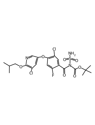 CC(C)COc1ncc(Oc2cc(F)c(C(=O)N(C(=O)OC(C)(C)C)S(N)(=O)=O)cc2Cl)cc1Cl